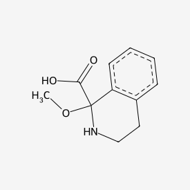 COC1(C(=O)O)NCCc2ccccc21